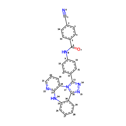 N#Cc1ccc(C(=O)Nc2ccc(-c3nnc4n3-c3cccnc3Nc3ccccc3-4)cc2)cc1